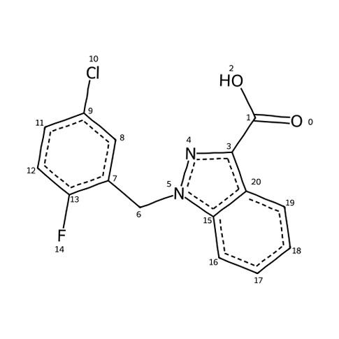 O=C(O)c1nn(Cc2cc(Cl)ccc2F)c2ccccc12